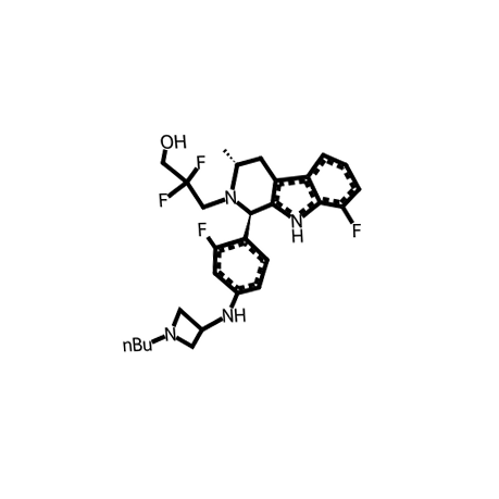 CCCCN1CC(Nc2ccc([C@@H]3c4[nH]c5c(F)cccc5c4C[C@@H](C)N3CC(F)(F)CO)c(F)c2)C1